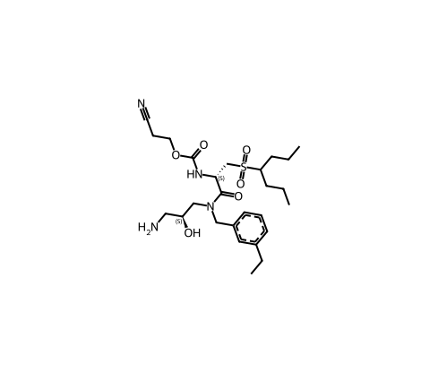 CCCC(CCC)S(=O)(=O)C[C@@H](NC(=O)OCCC#N)C(=O)N(Cc1cccc(CC)c1)C[C@@H](O)CN